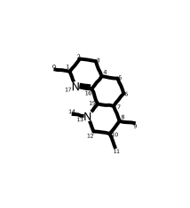 CC1CCC2CCC3C(C)C(C)CN(C)C3C2=N1